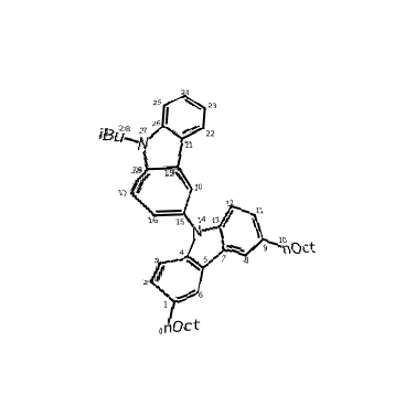 CCCCCCCCc1ccc2c(c1)c1cc(CCCCCCCC)ccc1n2-c1ccc2c(c1)c1ccccc1n2C(C)CC